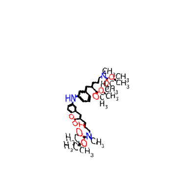 CN(CCCC(Cc1cccc(Nc2cccc(CC(CCCN(C)C(=O)OC(C)(C)C)C(=O)OC(C)(C)C)c2)c1)C(=O)O)C(=O)OC(C)(C)C